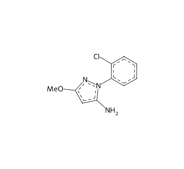 COc1cc(N)n(-c2ccccc2Cl)n1